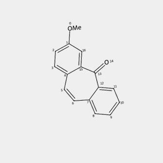 COc1ccc2ccc3ccccc3c(=O)c2c1